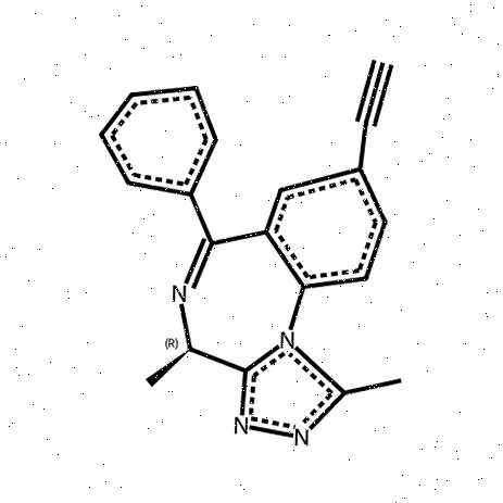 C#Cc1ccc2c(c1)C(c1ccccc1)=N[C@H](C)c1nnc(C)n1-2